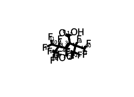 O=C(O)C(=C(C(=O)O)C(F)(C(F)F)C(F)(F)F)C(F)(C(F)F)C(F)(F)F